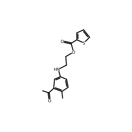 CC(=O)c1cc(NCCOC(=O)c2cccs2)ccc1C